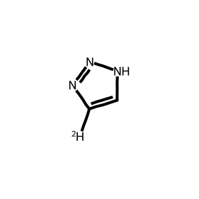 [2H]c1c[nH]nn1